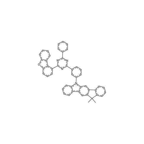 CC1(C)c2ccccc2-c2cc3c(cc21)c1ccccc1n3-c1cccc(-c2nc(-c3ccccc3)nc(-c3cccc4oc5ccccc5c34)n2)c1